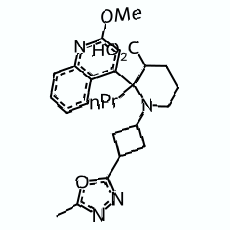 CCCC1(c2cc(OC)nc3ccccc23)C(C(=O)O)CCCN1C1CC(c2nnc(C)o2)C1